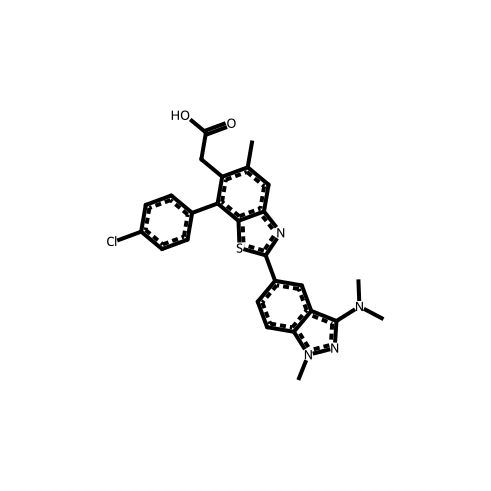 Cc1cc2nc(-c3ccc4c(c3)c(N(C)C)nn4C)sc2c(-c2ccc(Cl)cc2)c1CC(=O)O